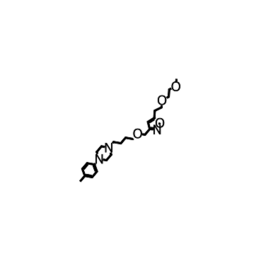 COCCOCCc1cc(COCCCCN2CCN(c3ccc(C)cc3)CC2)no1